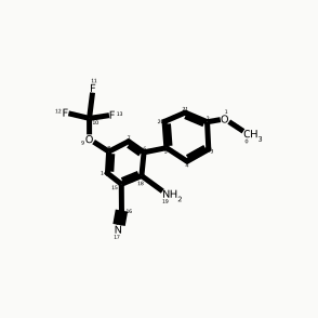 COc1ccc(-c2cc(OC(F)(F)F)cc(C#N)c2N)cc1